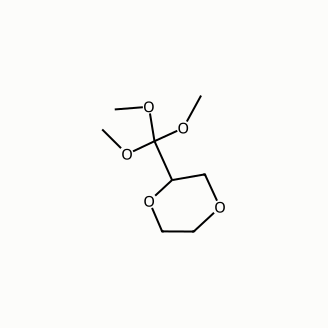 COC(OC)(OC)C1COCCO1